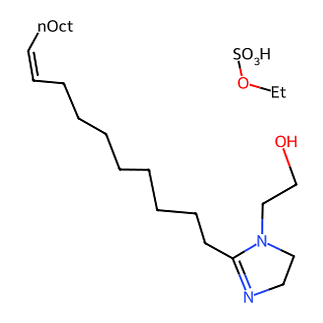 CCCCCCCC/C=C\CCCCCCCCC1=NCCN1CCO.CCOS(=O)(=O)O